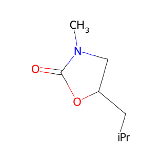 CC(C)CC1CN(C)C(=O)O1